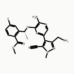 COC(=O)c1ccc(F)cc1[C@@H](C)Oc1nc(-c2c(CN)nn(C)c2C#N)cnc1N